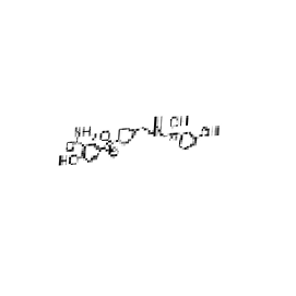 NC(=O)c1cc(S(=O)(=O)c2ccc(CCNC[C@H](O)c3cccc(O)c3)cc2)ccc1O